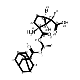 C[C@@H](OC(=O)C12CC3CC(CC(C3)C1)C2)OC(=O)[C@]1(N)CC[C@@H]2[C@H]1[C@@]2(F)C(=O)O